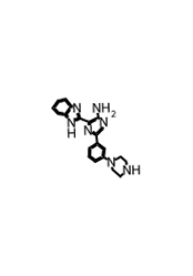 Nc1ncc(-c2cccc(N3CCNCC3)c2)nc1-c1nc2ccccc2[nH]1